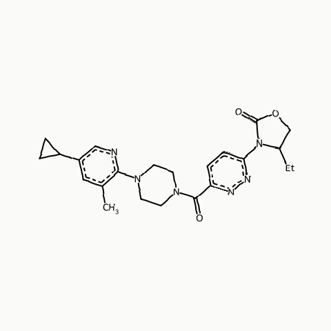 CCC1COC(=O)N1c1ccc(C(=O)N2CCN(c3ncc(C4CC4)cc3C)CC2)nn1